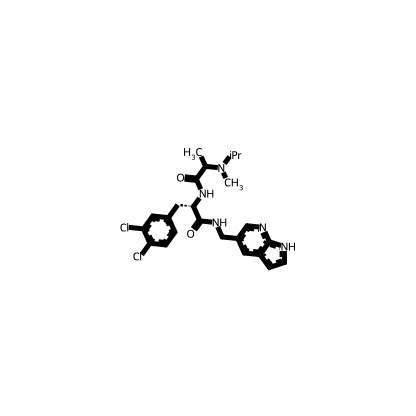 CC(C)N(C)C(C)C(=O)N[C@@H](Cc1ccc(Cl)c(Cl)c1)C(=O)NCc1cnc2[nH]ccc2c1